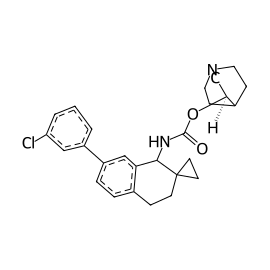 O=C(NC1c2cc(-c3cccc(Cl)c3)ccc2CCC12CC2)O[C@H]1CN2CCC1CC2